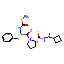 CC(C)(C)OC(=O)N[C@@H](Cc1ccccc1)C(=O)N1CCC[C@H]1C(=O)NNC1CCC1